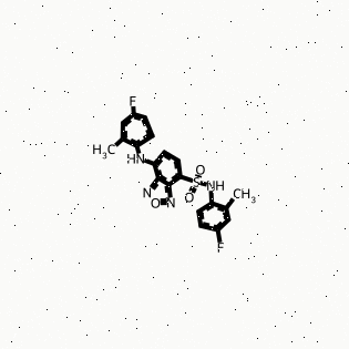 Cc1cc(F)ccc1Nc1ccc(S(=O)(=O)Nc2ccc(F)cc2C)c2nonc12